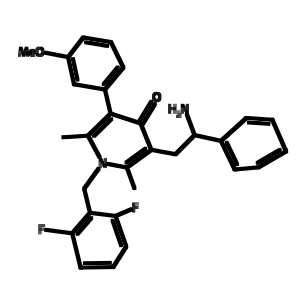 COc1cccc(-c2c(C)n(Cc3c(F)cccc3F)c(C)c(CC(N)c3ccccc3)c2=O)c1